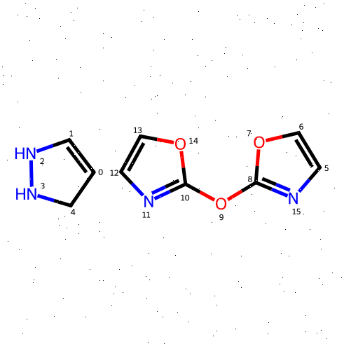 C1=CNNC1.c1coc(Oc2ncco2)n1